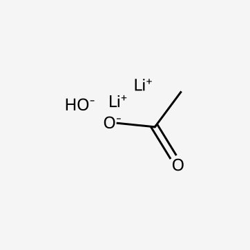 CC(=O)[O-].[Li+].[Li+].[OH-]